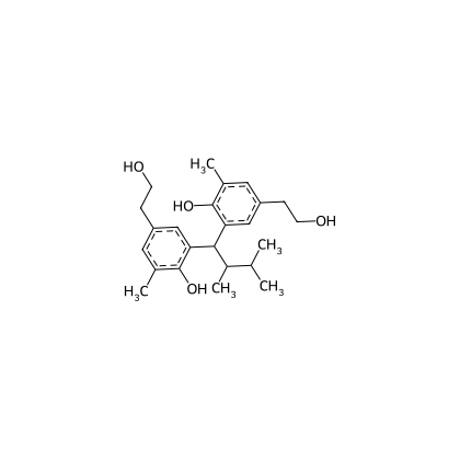 Cc1cc(CCO)cc(C(c2cc(CCO)cc(C)c2O)C(C)C(C)C)c1O